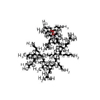 CSCC[C@H](NC(=O)[C@H](CCCCN)NC(=O)[C@H](CCCNC(=N)N)NC(=O)[C@H](CC(C)C)NC(=O)CNC(=O)[C@H](CCCCN)NC(=O)[C@H](CC(C)C)NC(=O)[C@H](C)NC(=O)[C@@H](N)CO)C(=O)N[C@@H](CCCCN)C(=O)N[C@@H](CCCNC(=N)N)C(=O)N[C@@H](CC(C)C)C(=O)N[C@@H](CCCCN)C(=O)N[C@@H](CCC(N)=O)C(=O)N[C@@H](CCCNC(=N)N)C(=O)N[C@@H](CC(C)C)C(=O)O